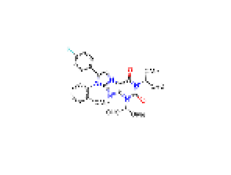 COc1ccccc1-n1c(-c2ccc(F)cc2)cn2c3c(=O)n(C(C=O)OC)c(=O)n(C(C=O)OC)c3nc12